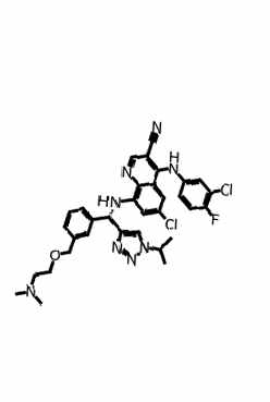 CC(C)n1cc([C@@H](Nc2cc(Cl)cc3c(Nc4ccc(F)c(Cl)c4)c(C#N)cnc23)c2cccc(COCCN(C)C)c2)nn1